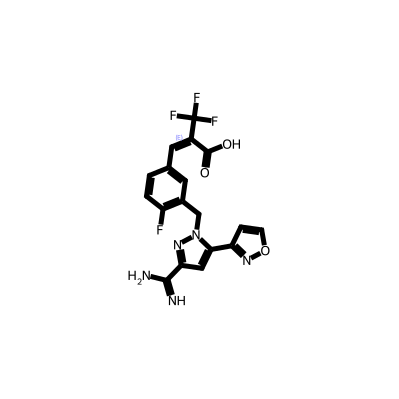 N=C(N)c1cc(-c2ccon2)n(Cc2cc(/C=C(\C(=O)O)C(F)(F)F)ccc2F)n1